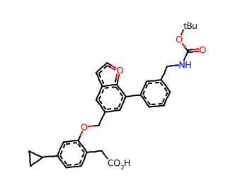 CC(C)(C)OC(=O)NCc1cccc(-c2cc(COc3cc(C4CC4)ccc3CC(=O)O)cc3ccoc23)c1